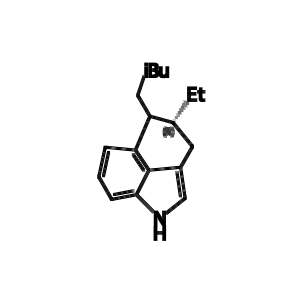 CCC(C)CC1c2cccc3[nH]cc(c23)C[C@H]1CC